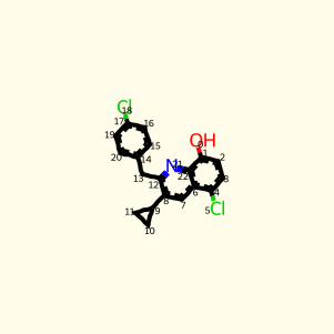 Oc1ccc(Cl)c2cc(C3CC3)c(Cc3ccc(Cl)cc3)nc12